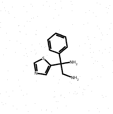 NCC(N)(c1ccccc1)c1cncs1